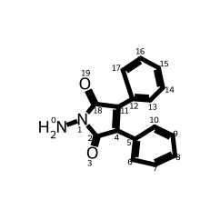 NN1C(=O)C(c2ccccc2)=C(c2ccccc2)C1=O